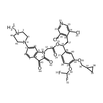 CN1CCN(c2ccc3c(c2)N(CC(=O)O[C@@H](Cc2c(Cl)cncc2Cl)c2ccc(OC(F)F)c(OCC4CC4)c2)C(=O)C3=O)CC1